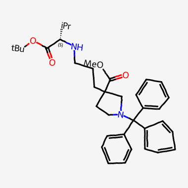 COC(=O)C1(CCCN[C@H](C(=O)OC(C)(C)C)C(C)C)CCN(C(c2ccccc2)(c2ccccc2)c2ccccc2)C1